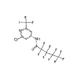 O=C(Nc1cc(Cl)nc(C(F)(F)F)c1)C(F)(F)C(F)(F)C(F)(F)C(F)(F)F